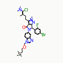 C/C(CCc1c2c(nn1C)C(c1ccc(Br)cc1F)N(c1ccc3c(c1)ncn3COCC[Si](C)(C)C)C2=O)=C(/Cl)N(C)C